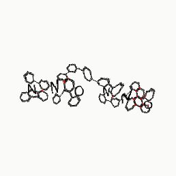 c1ccc(-c2ccccc2-c2ccccc2N(c2ccc(-c3ccccc3-n3c4ccccc4c4ccc(-c5ccc(-c6cccc(-c7ccc(N(c8ccc(-c9ccccc9-n9c%10ccccc%10c%10ccccc%109)cc8)c8ccccc8-c8cccc9oc%10ccccc%10c89)cc7)c6)cc5)cc43)cc2)c2ccccc2-c2cccc3oc4ccccc4c23)cc1